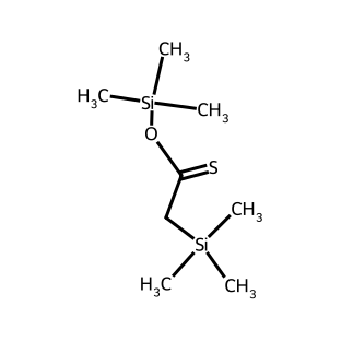 C[Si](C)(C)CC(=S)O[Si](C)(C)C